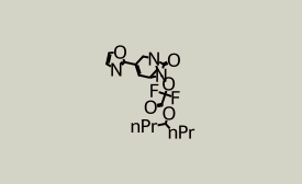 CCCC(CCC)OC(=O)C(F)(F)ON1C(=O)N2CC(c3ncco3)=CC1C2